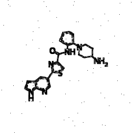 NC1CCN(c2ccccc2NC(=O)c2csc(-c3cnc4[nH]ccc4c3)n2)CC1